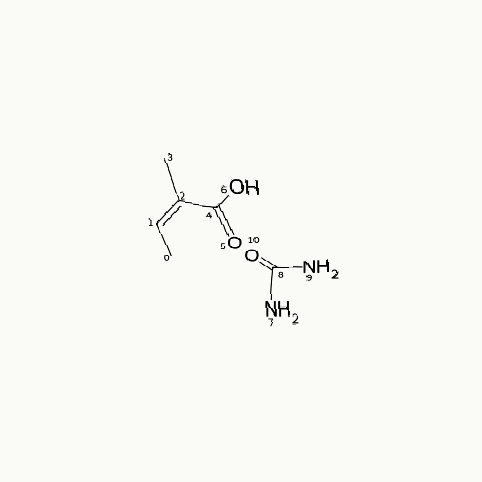 CC=C(C)C(=O)O.NC(N)=O